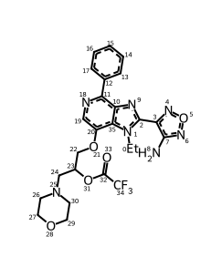 CCn1c(-c2nonc2N)nc2c(-c3ccccc3)ncc(OCC(CN3CCOCC3)OC(=O)C(F)(F)F)c21